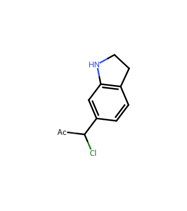 CC(=O)C(Cl)c1ccc2c(c1)NCC2